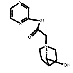 O=C(C[N+]12CCC(CC1)C(O)C2)Nc1cnccn1